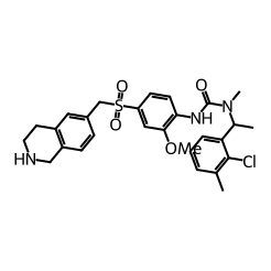 COc1cc(S(=O)(=O)Cc2ccc3c(c2)CCNC3)ccc1NC(=O)N(C)C(C)c1cccc(C)c1Cl